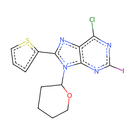 Clc1nc(I)nc2c1nc(-c1cccs1)n2C1CCCCO1